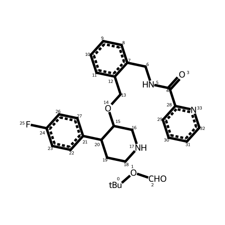 CC(C)(C)OC=O.O=C(NCc1ccccc1COC1CNCCC1c1ccc(F)cc1)c1ccccn1